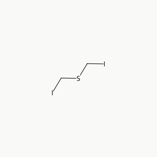 ICSCI